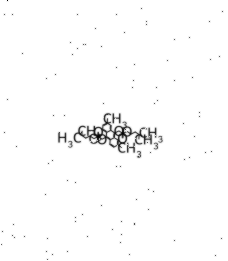 Cc1ccc2c(OC(=O)OCCC(C)C)c3ccc(C)cc3c(OC(=O)OCCC(C)C)c2c1